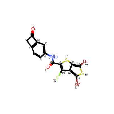 O=C1Cc2ccc(NC(=O)c3sc4c(Br)sc(Br)c4c3F)cc21